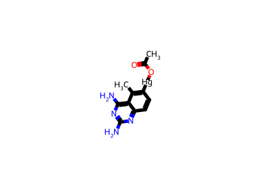 CC(=O)[O][Hg][c]1ccc2nc(N)nc(N)c2c1C